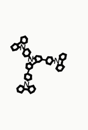 c1ccc2c(c1)c1ccccc1n2-c1ccc(-c2ccc3c(c2)c2cc(-c4ccc(-n5c6ccccc6c6ccccc65)cc4)ccc2n3-c2ccc(-n3c4ccccc4c4ccccc43)cc2)cc1